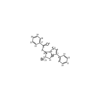 O=C(C[N+]1=C2SC=C(c3ccccc3)N2CC1)c1ccccc1.[Br-]